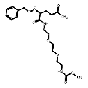 CC(C)(C)OC(=O)NCCOCCOCCNC(=O)C(CCC(N)=O)NOCc1ccccc1